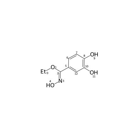 CCO/C(=N\O)c1ccc(O)c(O)c1